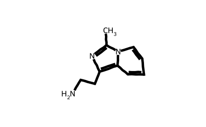 Cc1nc(CCN)c2ccccn12